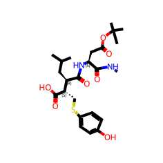 CNC(=O)[C@H](CC(=O)OC(C)(C)C)NC(=O)[C@H](CC(C)C)[C@H](CSc1ccc(O)cc1)C(=O)O